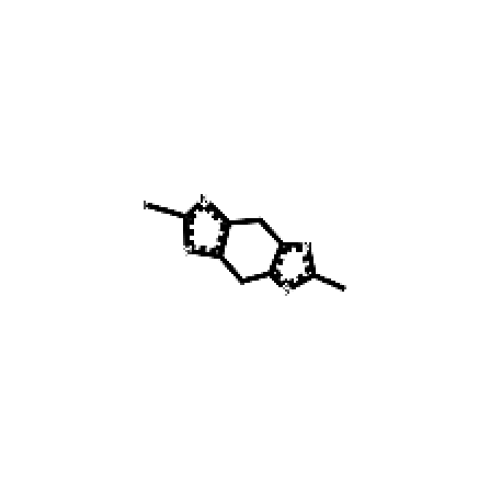 Cc1nc2c(s1)Cc1sc(I)nc1C2